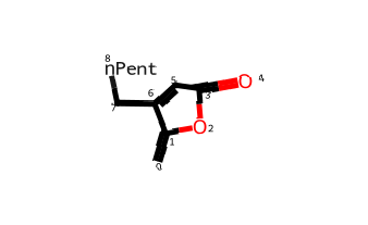 C=C1OC(=O)C=C1CCCCCC